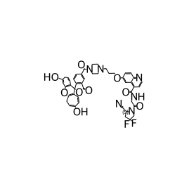 N#C[C@@H]1CC(F)(F)CN1C(=O)CNC(=O)c1ccnc2ccc(OCCCN3CCN(C(=O)c4ccc5c(c4)C(=O)OC54C5=C(C=C(O)CC=C5)OC5=C4C=CC(O)=CC5)CC3)cc12